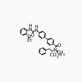 CCOc1ccccc1NC(=O)Nc1ccc(-c2ccc(C(=O)N(C)[C@@H](Cc3ccccc3)C(=O)O)cc2)cc1